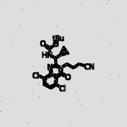 CC(C)(C)OC(=O)NC(c1nc2c(Cl)ccc(Cl)c2c(=O)n1CCCC#N)C1CC1